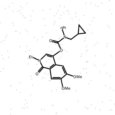 CCCN(CC1CC1)C(=O)Oc1cn(CC)c(=O)c2cc(OC)c(OC)cc12